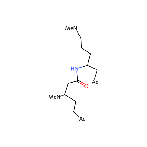 CNCCCC(CC(C)=O)NC(=O)CC(CCC(C)=O)NC